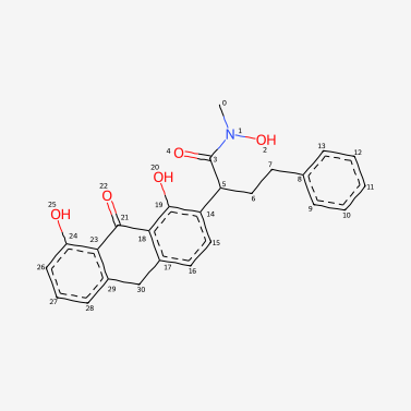 CN(O)C(=O)C(CCc1ccccc1)c1ccc2c(c1O)C(=O)c1c(O)cccc1C2